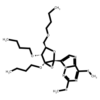 CCCCOC[C@H]1O[C@]2(c3cnc4c(SC)nc(SC)nn34)O[C@@]2(OCCCC)[C@@H]1OCCCC